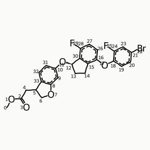 COC(=O)CC1COc2cc(O[C@@H]3CCc4c(Oc5ccc(Br)cc5F)ccc(F)c43)ccc21